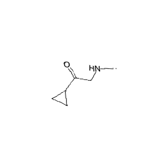 [CH2]NCC(=O)C1CC1